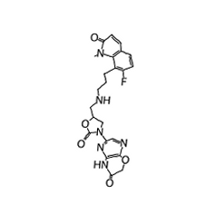 Cn1c(=O)ccc2ccc(F)c(CCCNCC3CN(c4cnc5c(n4)NC(=O)CO5)C(=O)O3)c21